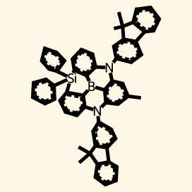 Cc1cc2c3c(c1)N(c1ccc4c(c1)C(C)(C)c1ccccc1-4)c1cccc4c1B3c1c(cccc1[Si]4(c1ccccc1)c1ccccc1)N2c1ccc2c(c1)C(C)(C)c1ccccc1-2